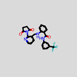 O=C(Nc1cccc(C(F)(F)F)c1)c1ccccc1NCc1cccnc1N1C(=O)CCC1=O